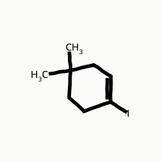 CC1(C)CC=C(I)CC1